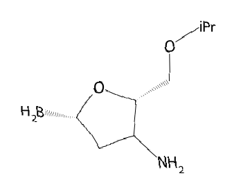 B[C@H]1CC(N)[C@@H](COC(C)C)O1